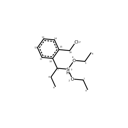 CCO[SiH](OCC)C(CC)c1ccccc1CCl